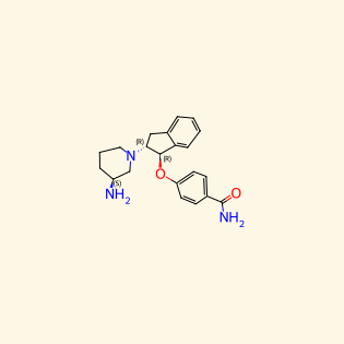 NC(=O)c1ccc(O[C@@H]2c3ccccc3C[C@H]2N2CCC[C@H](N)C2)cc1